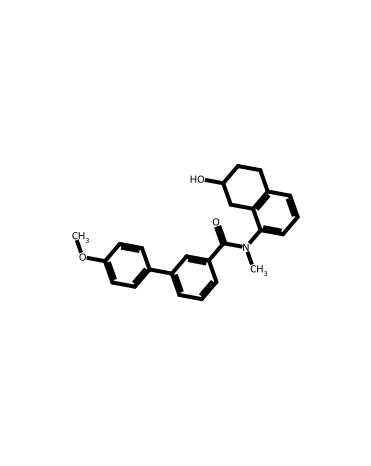 COc1ccc(-c2cccc(C(=O)N(C)c3cccc4c3CC(O)CC4)c2)cc1